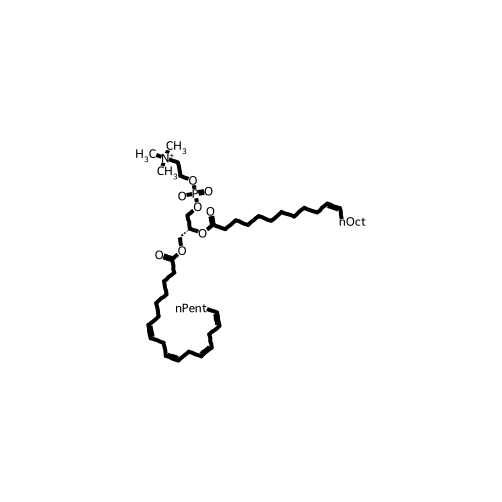 CCCCC/C=C\C/C=C\C/C=C\C/C=C\CCCCCC(=O)OC[C@H](COP(=O)([O-])OCC[N+](C)(C)C)OC(=O)CCCCCCCCC/C=C\CCCCCCCC